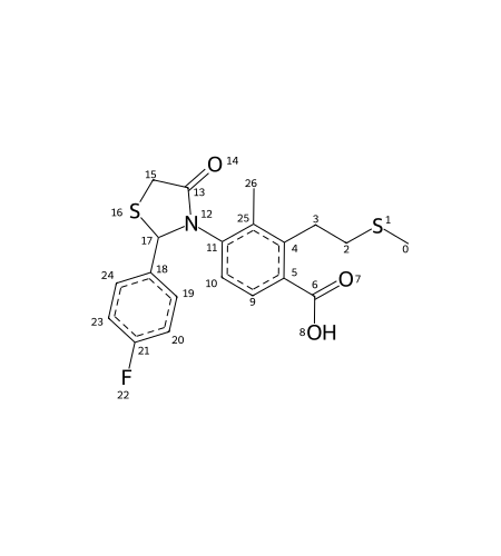 CSCCc1c(C(=O)O)ccc(N2C(=O)CSC2c2ccc(F)cc2)c1C